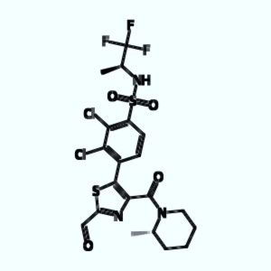 C[C@H](NS(=O)(=O)c1ccc(-c2sc(C=O)nc2C(=O)N2CCCC[C@@H]2C)c(Cl)c1Cl)C(F)(F)F